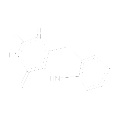 O=c1[nH]c2c(c(=O)[nH]1)Nc1ccccc1S2